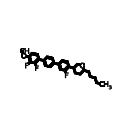 CCCCCC1CCC(c2ccc(-c3ccc(-c4ccc(OC)c(F)c4F)cc3)cc2F)CO1